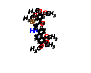 COc1cc(/C=C\c2ccccc2NC2CC2C(=O)c2cc(OC)c(OC)c(OC)c2Br)cc(OC)c1OC